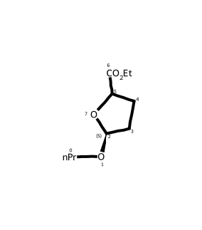 CCCO[C@@H]1CCC(C(=O)OCC)O1